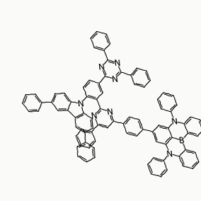 c1ccc(-c2ccc3c(c2)c2cc(-c4ccccc4)ccc2n3-c2ccc(-c3nc(-c4ccccc4)nc(-c4ccccc4)n3)cc2-c2nc(-c3ccccc3)cc(-c3ccc(-c4cc5c6c(c4)N(c4ccccc4)c4ccccc4B6c4ccccc4N5c4ccccc4)cc3)n2)cc1